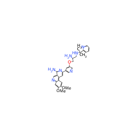 COc1cc2ncc3c(N)nc(-c4cncc(OC[C@@H](N)CNC(C)(C)c5ccccn5)c4)cc3c2cc1OC